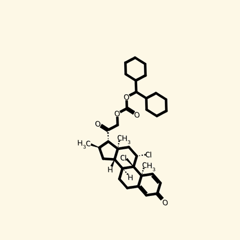 C[C@@H]1C[C@H]2[C@@H]3CCC4=CC(=O)C=C[C@]4(C)[C@@]3(Cl)[C@@H](Cl)C[C@]2(C)[C@H]1C(=O)COC(=O)OC(C1CCCCC1)C1CCCCC1